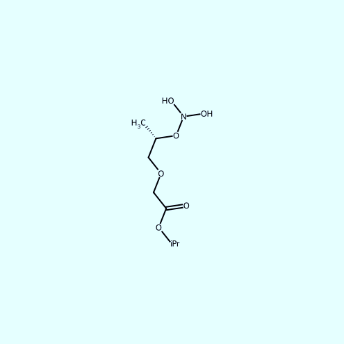 CC(C)OC(=O)COC[C@H](C)ON(O)O